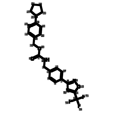 O=C(NCc1ccc(-c2noc(C(F)(F)F)n2)cc1)OCc1ccc(N2CCCC2)nc1